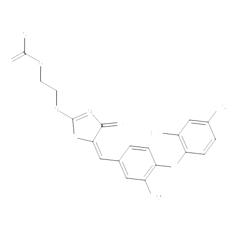 COc1cc(C=C2SC(NCCNC(N)=O)=NC2=O)ccc1Oc1ccc(C#N)cc1C(F)(F)F